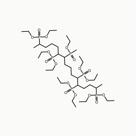 CCOP(C)(=O)C(CCCC(C(CCC(C)P(=O)(OCC)OCC)P(=O)(OCC)OCC)P(=O)(OCC)OCC)C(CCCC(C)P(=O)(OCC)OCC)P(=O)(OCC)OCC